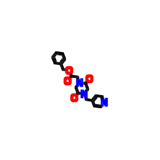 O=C(CN1CC(=O)N(Cc2ccncc2)CC1=O)OCc1ccccc1